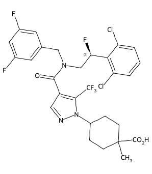 CC1(C(=O)O)CCC(n2ncc(C(=O)N(Cc3cc(F)cc(F)c3)C[C@@H](F)c3c(Cl)cccc3Cl)c2C(F)(F)F)CC1